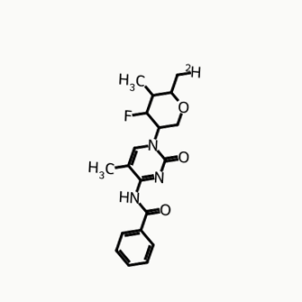 [2H]CC1OCC(n2cc(C)c(NC(=O)c3ccccc3)nc2=O)C(F)C1C